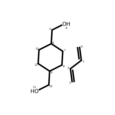 C=CC=C.OCC1CCC(CO)CC1